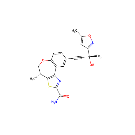 Cc1cc([C@](C)(O)C#Cc2ccc3c(c2)-c2nc(C(N)=O)sc2[C@H](C)CO3)no1